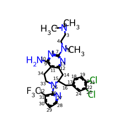 CN(C)CCN(C)c1nc(N)c2c(n1)CC(Cc1ccc(Cl)c(Cl)c1)N(c1ncccc1C(F)(F)F)CC2